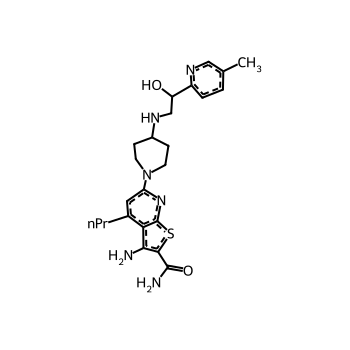 CCCc1cc(N2CCC(NCC(O)c3ccc(C)cn3)CC2)nc2sc(C(N)=O)c(N)c12